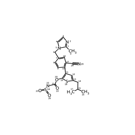 Cc1nccn1Cc1ccc(-c2cc(CC(C)C)sc2OC(=O)N=S(=O)=O)c(C#N)c1